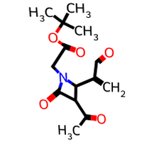 C=C(C=O)C1C(C(C)=O)C(=O)N1CC(=O)OC(C)(C)C